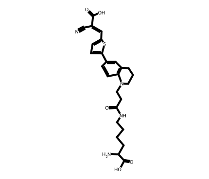 N#C/C(=C\c1ccc(-c2ccc3c(c2)CCCN3CCC(=O)NCCCCC(N)C(=O)O)s1)C(=O)O